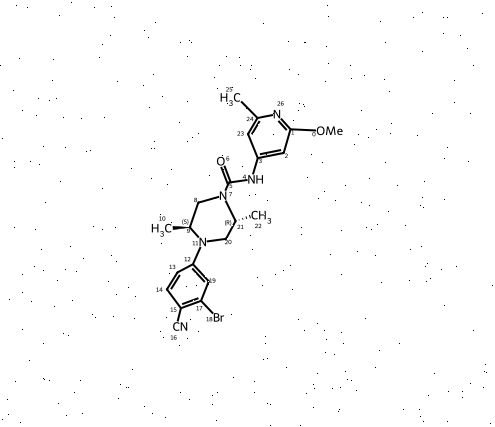 COc1cc(NC(=O)N2C[C@H](C)N(c3ccc(C#N)c(Br)c3)C[C@H]2C)cc(C)n1